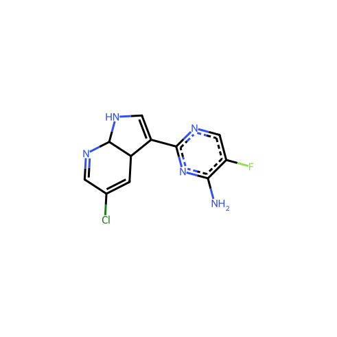 Nc1nc(C2=CNC3N=CC(Cl)=CC23)ncc1F